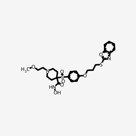 COCCN1CCC(C(=O)NO)(S(=O)(=O)c2ccc(OCCCSc3nc4ccccc4o3)cc2)CC1